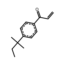 C=CC(=O)c1ccc(C(C)(C)CC)cc1